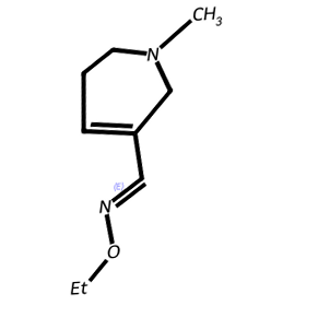 CCO/N=C/C1=CCCN(C)C1